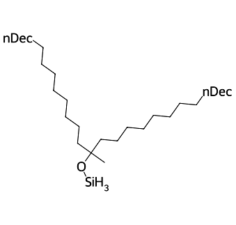 CCCCCCCCCCCCCCCCCCC(C)(CCCCCCCCCCCCCCCCCC)O[SiH3]